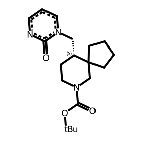 CC(C)(C)OC(=O)N1CC[C@H](Cn2cccnc2=O)C2(CCCC2)C1